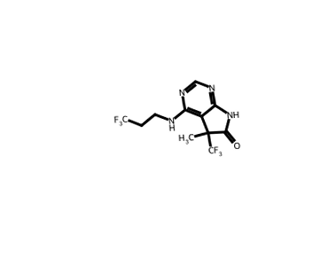 CC1(C(F)(F)F)C(=O)Nc2ncnc(NCCC(F)(F)F)c21